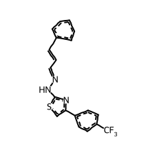 FC(F)(F)c1ccc(-c2csc(NN=CC=Cc3ccccc3)n2)cc1